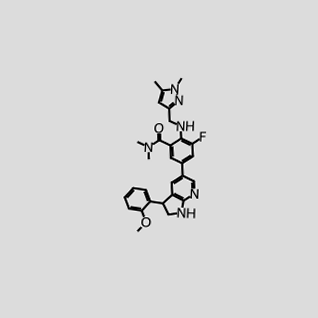 COc1ccccc1C1CNc2ncc(-c3cc(F)c(NCc4cc(C)n(C)n4)c(C(=O)N(C)C)c3)cc21